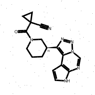 N#CC1(C(=O)N2CCC[C@H](c3nnn4cnc5[nH]ccc5c34)C2)CC1